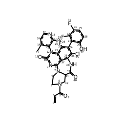 C=CC(=O)N1CCN2c3nc(=O)n(-c4c(C)ccnc4C(C)C)c4c(F)c(-c5c(O)ccc(F)c5F)c(Cl)c(c34)NC(=O)C2C1